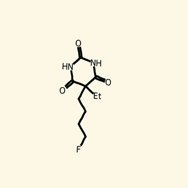 CCC1(CCCCF)C(=O)NC(=O)NC1=O